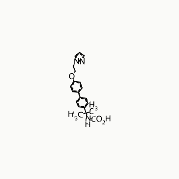 CC(C)(NC(=O)O)c1ccc(-c2ccc(OCCn3cccn3)cc2)cc1